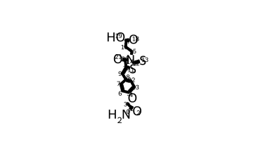 NC(=O)COc1ccc(/C=C2\SC(=S)N(CCC(=O)O)C2=O)cc1